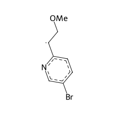 COC[CH]c1ccc(Br)cn1